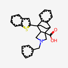 O=C(O)C12CN(Cc3ccccc3)CC1C1(c3cc4ccccc4s3)CCC2c2ccccc21